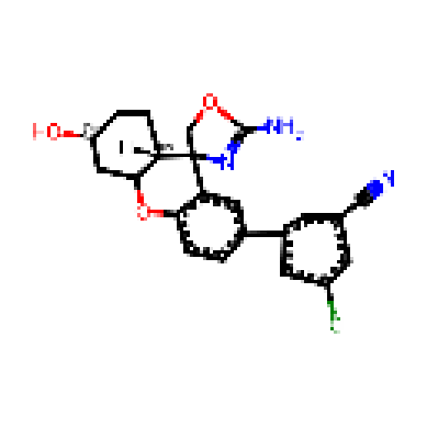 N#Cc1cc(Cl)cc(-c2ccc3c(c2)C2(COC(N)=N2)[C@H]2CC[C@H](O)CC2O3)c1